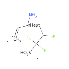 C=CCN.CCCCCCCC(F)C(F)(F)S(=O)(=O)O